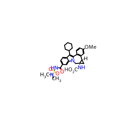 COc1ccc2c(c1)[C@H]1C[C@@]1(NC(=O)O)Cn1c-2c(C2CCCCC2)c2ccc(C(=O)NS(=O)(=O)N(C)C)cc21